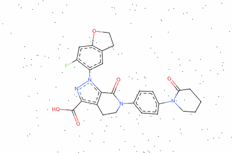 O=C(O)c1nn(-c2cc3c(cc2F)OCC3)c2c1CCN(c1ccc(N3CCCCC3=O)cc1)C2=O